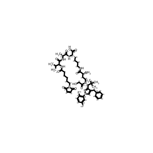 CC(C)C(NC(=O)CCCCCN1C(=O)C=CC1=O)C(=O)N[C@@H](C)C(=O)N[C@@H](CCCCNC(=O)[C@@H](N)CCN(C(=O)CO)[C@@H](c1nn(-c2cc(F)ccc2F)cc1Cc1ccccc1)C(C)(C)C)C(=O)O